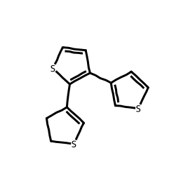 C1=C(c2sccc2-c2ccsc2)CCS1